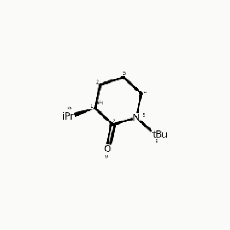 CC(C)[C@H]1CCCN(C(C)(C)C)C1=O